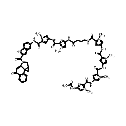 CC(=O)Nc1cn(C)c(C(=O)Nc2cc(C(=O)Nc3cc(C(=O)Nc4cc(C(=O)NCCCC(=O)Nc5cn(C)c(C(=O)Nc6cc(C(=O)Nc7ccc8[nH]c(C(=O)N9CC%10CC%10%11C9=CC(=O)c9ccccc9%11)cc8c7)n(C)c6)n5)n(C)c4)n(C)c3)n(C)c2)n1